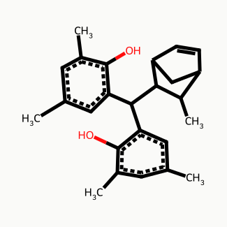 Cc1cc(C)c(O)c(C(c2cc(C)cc(C)c2O)C2C3C=CC(C3)C2C)c1